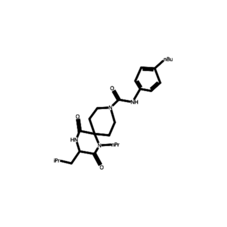 CCCCc1ccc(NC(=O)N2CCC3(CC2)C(=O)NC(CC(C)C)C(=O)N3CCC)cc1